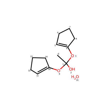 CC(O)(OC1=CCCC1)OC1=CCCC1.O